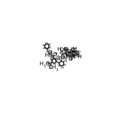 COc1c(CN2O[C@@H](CO)[C@H]([C@H](C)O)[C@H]2C(=O)N[C@H]2C[C@H]3C[C@@H]([C@@H]2C)C3(C)C)cccc1-c1cc(C(=O)NOCc2ccccc2)cc(N(C)C)c1